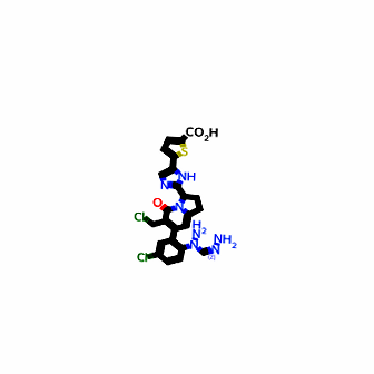 N/N=C\N(N)c1ccc(Cl)cc1-c1cc2n(c(=O)c1CCl)C(c1ncc(-c3ccc(C(=O)O)s3)[nH]1)CC2